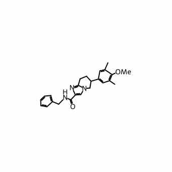 COc1c(C)cc(C2CCc3nc(C(=O)NCc4ccccc4)cn3C2)cc1C